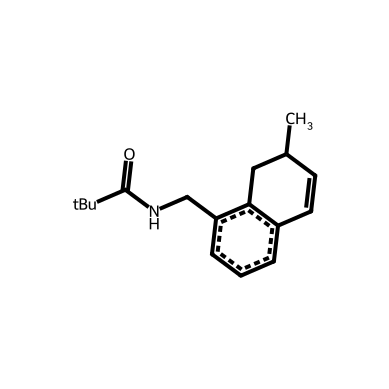 CC1C=Cc2cccc(CNC(=O)C(C)(C)C)c2C1